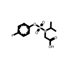 CC(C)N(CC(=O)O)S(=O)(=O)Oc1ccc(F)cc1